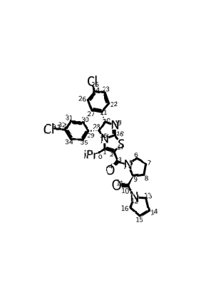 CC(C)C1=C(C(=O)N2CCC[C@H]2C(=O)N2CCCC2)SC2=N[C@@H](c3ccc(Cl)cc3)[C@@H](c3ccc(Cl)cc3)N21